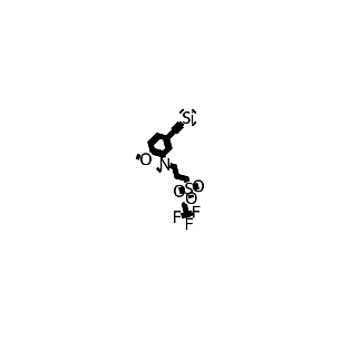 COc1ccc(C#C[Si](C)(C)C)cc1N(C)CCCS(=O)(=O)OCC(F)(F)F